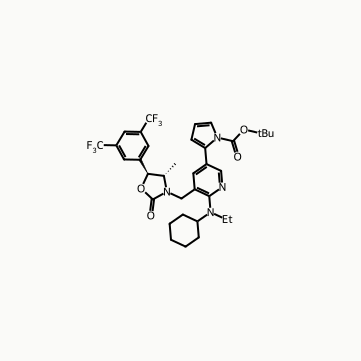 CCN(c1ncc(-c2cccn2C(=O)OC(C)(C)C)cc1CN1C(=O)O[C@@H](c2cc(C(F)(F)F)cc(C(F)(F)F)c2)[C@@H]1C)C1CCCCC1